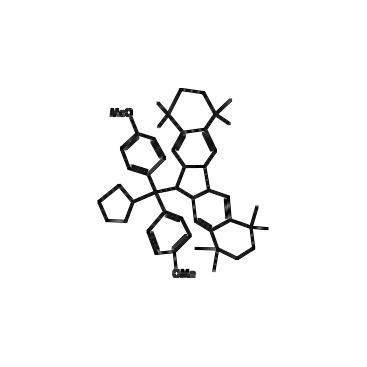 COc1ccc(C(c2ccc(OC)cc2)(C2CCCC2)C2C3C=C4C(=CC3C3C=C5C(=CC32)C(C)(C)CCC5(C)C)C(C)(C)CCC4(C)C)cc1